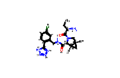 CC(C)(C)C[C@@H](N)C(=O)N1C[C@@H]2C[C@@H]2[C@H]1C(=O)NCc1cc(Cl)ccc1-c1nnn[nH]1